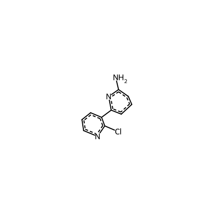 Nc1cccc(-c2cccnc2Cl)n1